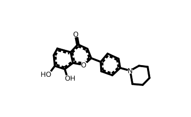 O=c1cc(-c2ccc(N3CCCCC3)cc2)oc2c(O)c(O)ccc12